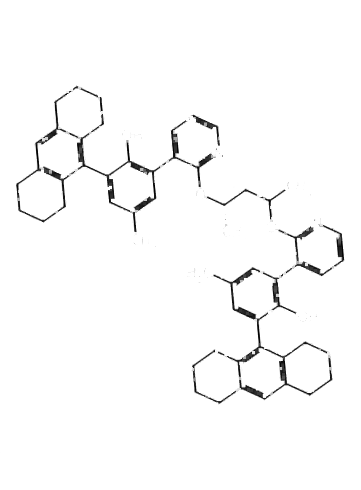 Cc1cc(-c2cccnc2OC(C)C[C@H](C)Oc2ncccc2-c2cc(C)cc(-c3c4c(cc5c3CCCC5)CCCC4)c2O)c(O)c(-c2c3c(cc4c2CCCC4)CCCC3)c1